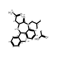 CC(=O)O.CC(C)CN1C(=O)C(CC(N)=O)OC(c2ccccc2F)c2ccccc21